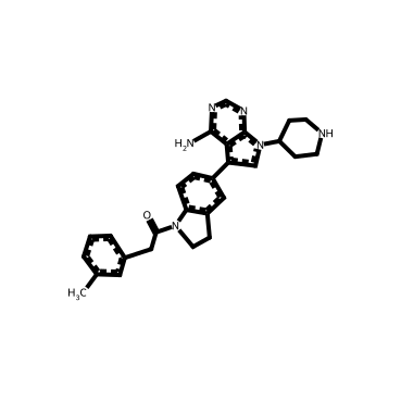 Cc1cccc(CC(=O)N2CCc3cc(-c4cn(C5CCNCC5)c5ncnc(N)c45)ccc32)c1